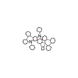 c1ccc(N(c2ccc3c(c2)-c2ccccc2-c2ccccc2N3c2ccccc2)c2ccc3c(c2)C2(c4ccccc4-c4ccccc4-3)c3ccccc3-c3ccccc32)cc1